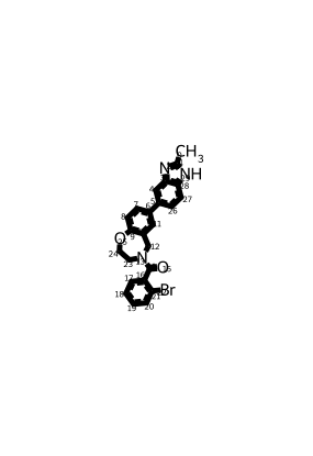 Cc1nc2cc(-c3ccc4c(c3)CN(C(=O)c3ccccc3Br)CCO4)ccc2[nH]1